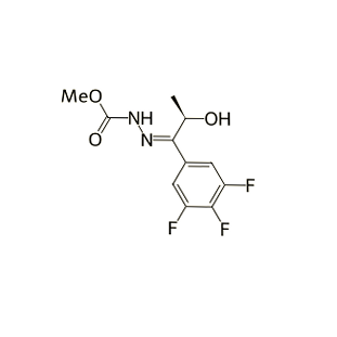 COC(=O)NN=C(c1cc(F)c(F)c(F)c1)[C@@H](C)O